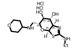 CCNC1=N[C@@H]2[C@@H](O)[C@H](O)[C@@H](CNC3CCOCC3)O[C@@H]2S1.Cl.Cl